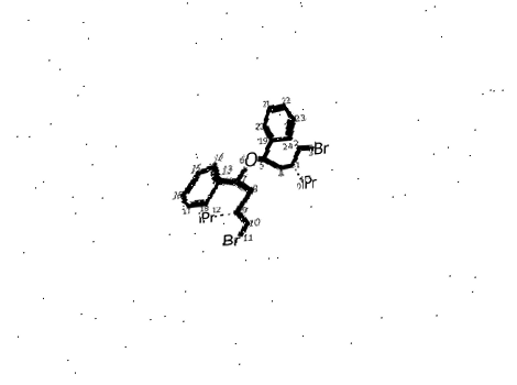 CC(C)[C@@H](CBr)CC(OC(C[C@H](CBr)C(C)C)c1ccccc1)c1ccccc1